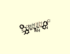 Cc1ccc(NCNC(=N)NCNc2ccnc3cc(Cl)ccc23)c2c(=O)c3ccccc3sc12